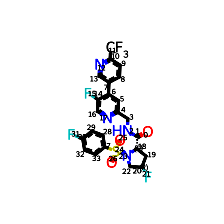 O=C(NCc1cc(-c2ccc(C(F)(F)F)nc2)c(F)cn1)[C@@H]1C[C@@H](F)CN1S(=O)(=O)c1ccc(F)cc1